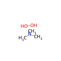 CN(C)C.OO